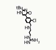 CC(C)(C)c1nc(=O)c(-c2ccc(CNCCCNC(=N)N)c(Cl)c2)c[nH]1